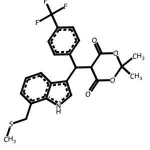 CSCc1cccc2c(C(c3ccc(C(F)(F)F)cc3)C3C(=O)OC(C)(C)OC3=O)c[nH]c12